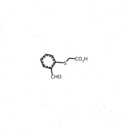 O=Cc1ccccc1SCC(=O)O